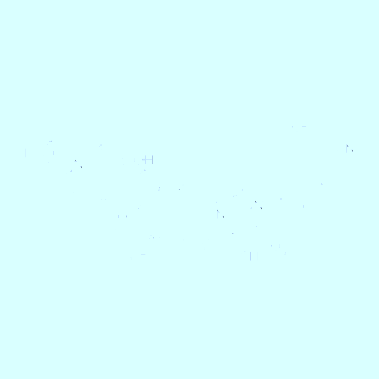 CC1(C)C(=O)N(c2ccc(C#N)c(C(F)(F)F)c2)C(=S)N1c1ccc(OC2CN(C(=O)O)CC2O)c(F)c1